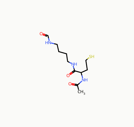 CC(=O)NC(CCS)C(=O)NCCCCNC=O